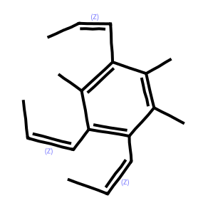 C/C=C\c1c(C)c(C)c(/C=C\C)c(/C=C\C)c1C